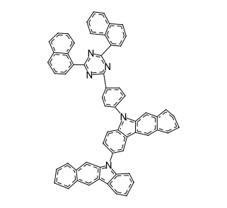 c1ccc2cc3c(cc2c1)c1ccccc1n3-c1ccc2c(c1)c1cc3ccccc3cc1n2-c1ccc(-c2nc(-c3cccc4ccccc34)nc(-c3cccc4ccccc34)n2)cc1